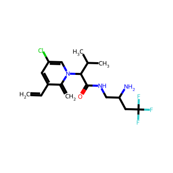 C=CC1=CC(Cl)=CN(C(C(=O)NCC(N)CC(F)(F)F)C(C)C)C1=C